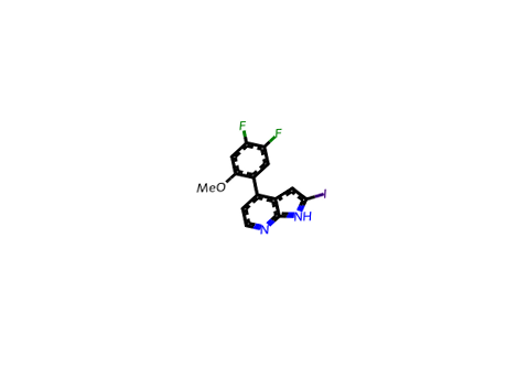 COc1cc(F)c(F)cc1-c1ccnc2[nH]c(I)cc12